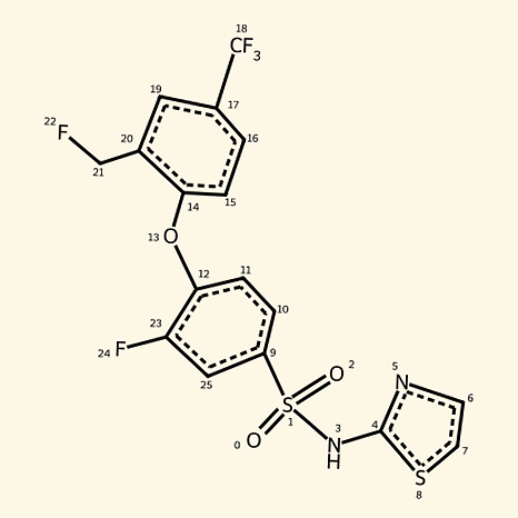 O=S(=O)(Nc1nccs1)c1ccc(Oc2ccc(C(F)(F)F)cc2CF)c(F)c1